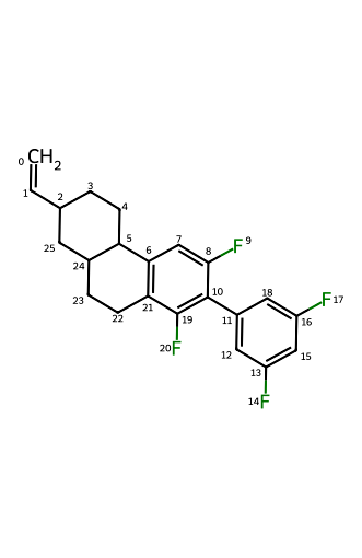 C=CC1CCC2c3cc(F)c(-c4cc(F)cc(F)c4)c(F)c3CCC2C1